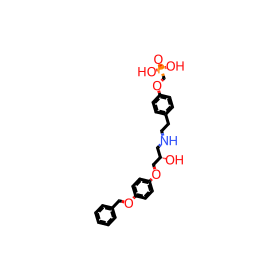 O=P(O)(O)COc1ccc(CCNC[C@H](O)COc2ccc(OCc3ccccc3)cc2)cc1